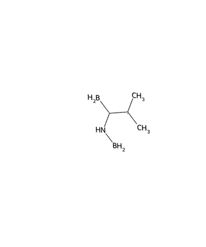 BNC(B)[C](C)C